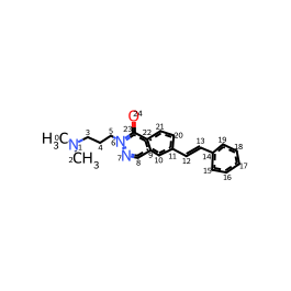 CN(C)CCCn1ncc2cc(/C=C/c3ccccc3)ccc2c1=O